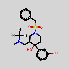 [2H]C([2H])([2H])N(C)CC1CN(S(=O)(=O)Cc2ccccc2)CCC1(O)c1cccc(O)c1